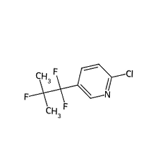 CC(C)(F)C(F)(F)c1ccc(Cl)nc1